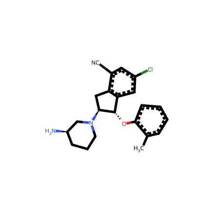 Cc1ccccc1O[C@H]1c2cc(Cl)cc(C#N)c2C[C@@H]1N1CCC[C@@H](N)C1